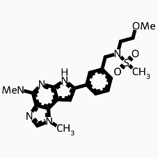 CNc1nc2[nH]c(-c3cccc(CN(CCOC)S(C)(=O)=O)c3)cc2c2c1ncn2C